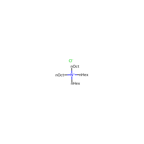 CCCCCCCC[N+](CCCCCC)(CCCCCC)CCCCCCCC.[Cl-]